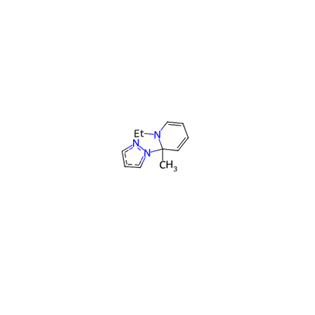 CCN1C=CC=CC1(C)n1cccn1